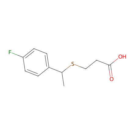 CC(SCCC(=O)O)c1ccc(F)cc1